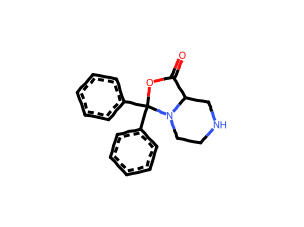 O=C1OC(c2ccccc2)(c2ccccc2)N2CCNCC12